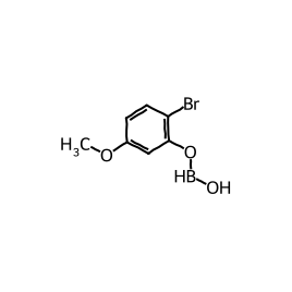 COc1ccc(Br)c(OBO)c1